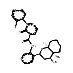 O=C(Nc1cnccc1[C@@H]1C[C@H](O)[C@]2(O)CCCC[C@@H]2O1)c1ccnn(-c2ccccc2F)c1=O